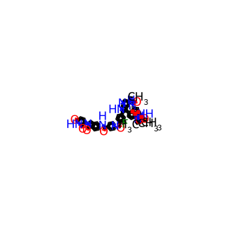 COC(=O)N[C@@H]1CC[C@@H](n2c(=O)n(C)c3cnc4[nH]c(-c5ccc(C(=O)N6CCC(C(=O)Nc7ccc8c(c7)CN(C7CCC(=O)NC7=O)C8=O)CC6)c(F)c5)c(-c5ccc6c(cnn6C(C)C)c5)c4c32)C1